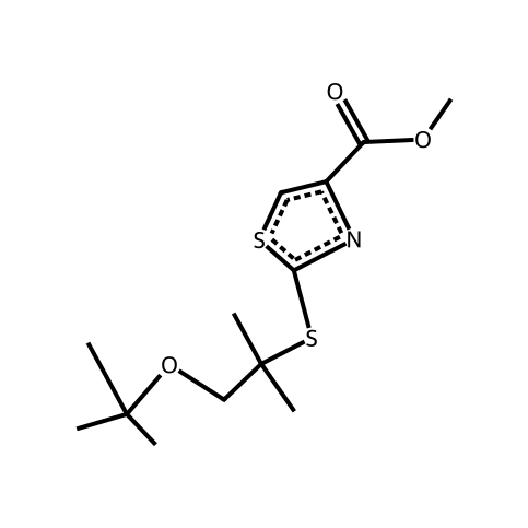 COC(=O)c1csc(SC(C)(C)COC(C)(C)C)n1